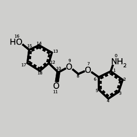 Nc1ccccc1OCOC(=O)c1ccc(O)cc1